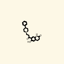 O=C1CCc2cc(O)c(C(=O)CCN3CCC(c4ccccc4)CC3)cc2N1